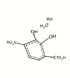 O.O=C(O)c1ccc(S(=O)(=O)O)c(O)c1O.[KH]